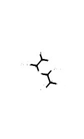 CCCCCCCCCC(OC(CCCCCCCCC)C(C)CCCC)C(C)CCCC